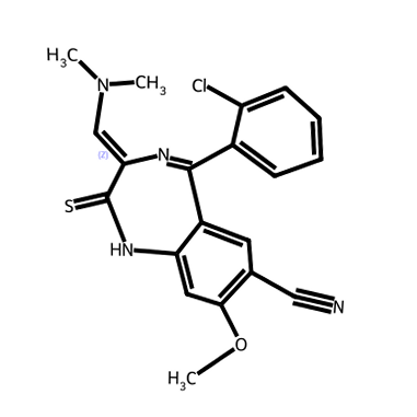 COc1cc2c(cc1C#N)C(c1ccccc1Cl)=N/C(=C\N(C)C)C(=S)N2